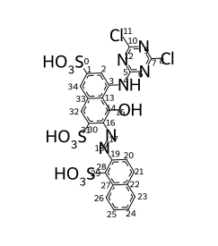 O=S(=O)(O)c1cc(Nc2nc(Cl)nc(Cl)n2)c2c(O)c(N=Nc3ccc4ccccc4c3S(=O)(=O)O)c(S(=O)(=O)O)cc2c1